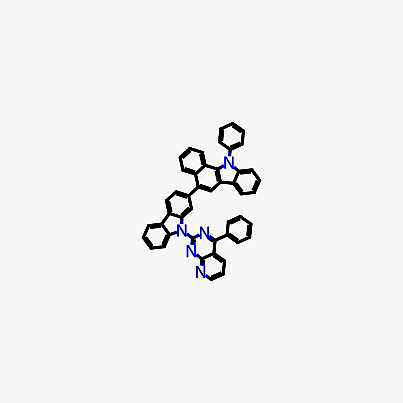 c1ccc(-c2nc(-n3c4ccccc4c4ccc(-c5cc6c7ccccc7n(-c7ccccc7)c6c6ccccc56)cc43)nc3ncccc23)cc1